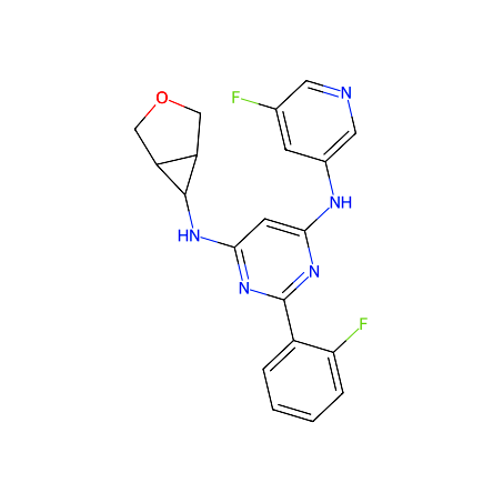 Fc1cncc(Nc2cc(NC3C4COCC43)nc(-c3ccccc3F)n2)c1